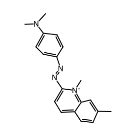 Cc1ccc2ccc(N=Nc3ccc(N(C)C)cc3)[n+](C)c2c1